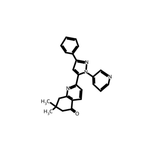 CC1(C)CC(=O)c2ccc(-c3cc(-c4ccccc4)nn3-c3cccnc3)nc2C1